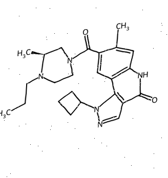 CCCN1CCN(C(=O)c2cc3c(cc2C)[nH]c(=O)c2cnn(C4CCC4)c23)C[C@@H]1C